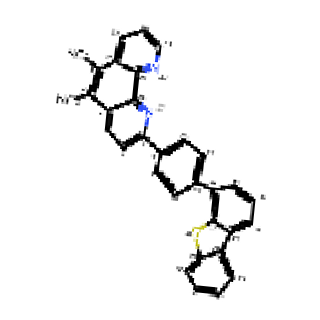 N#Cc1c(C#N)c2ccc(-c3ccc(-c4cccc5c4sc4ccccc45)cc3)nc2c2ncccc12